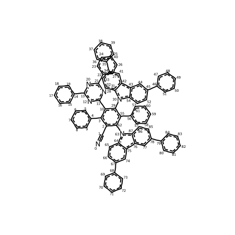 N#Cc1c(-c2ccccc2)c(-c2nc(-c3ccccc3)nc(-c3ccccc3)n2)c(-n2c3ccc(-c4ccccc4)cc3c3cc(-c4ccccc4)ccc32)c(-c2ccccc2)c1-n1c2ccc(-c3ccccc3)cc2c2cc(-c3ccccc3)ccc21